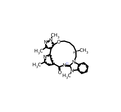 Cc1cc2cc(n1)-c1c(C)nn(C)c1OCCC[C@@H](C)CN1/C(=N/C2=O)N(C)c2ccccc21